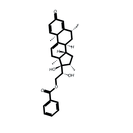 C[C@H]1C[C@H]2[C@@H]3C[C@@H](F)C4=CC(=O)C=C[C@]4(C)C3=CC[C@]2(C)[C@@]1(O)[C@H](O)COC(=O)c1ccccc1